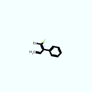 C=C/C(=C(/F)CC)c1ccccc1